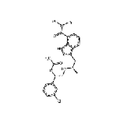 CC(C)N(C(=O)c1cccc2c(C[C@@H](C)NC[C@@H](OC(=O)C(F)(F)F)c3cccc(Cl)c3)c[nH]c12)C(C)C